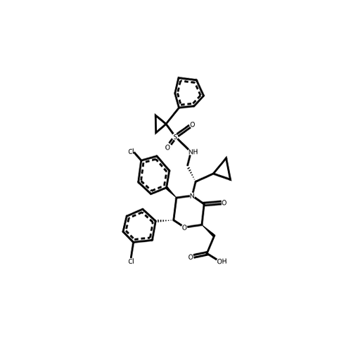 O=C(O)C[C@H]1O[C@H](c2cccc(Cl)c2)[C@@H](c2ccc(Cl)cc2)N([C@H](CNS(=O)(=O)C2(c3ccccc3)CC2)C2CC2)C1=O